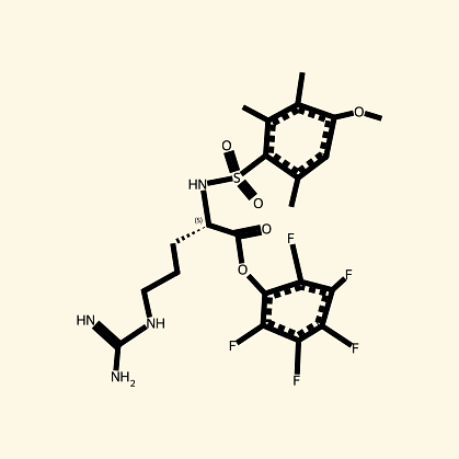 COc1cc(C)c(S(=O)(=O)N[C@@H](CCCNC(=N)N)C(=O)Oc2c(F)c(F)c(F)c(F)c2F)c(C)c1C